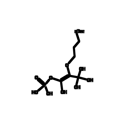 CCCCCCCCCCCCCOC(=C(O)OP(=O)(O)O)C(O)(O)O